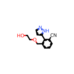 N#Cc1cccc(COCCO)c1-c1ccn[nH]1